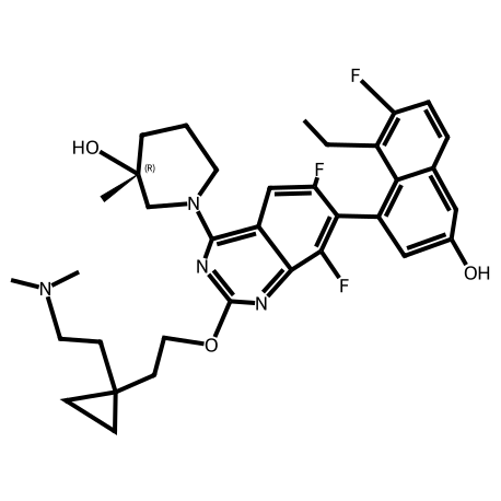 CCc1c(F)ccc2cc(O)cc(-c3c(F)cc4c(N5CCC[C@@](C)(O)C5)nc(OCCC5(CCN(C)C)CC5)nc4c3F)c12